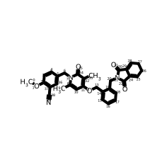 COc1ccc(Cn2c(C)cc(OCc3ccccc3CN3C(=O)C4=CCCC=C4C3=O)c(C)c2=O)cc1C#N